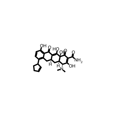 CN(C)[C@H]1C(O)=C(C(N)=O)C(=O)[C@@]2(O)C(O)=C3C(=O)c4c(O)ccc(C5C=CCC5)c4C[C@@H]3C[C@H]12